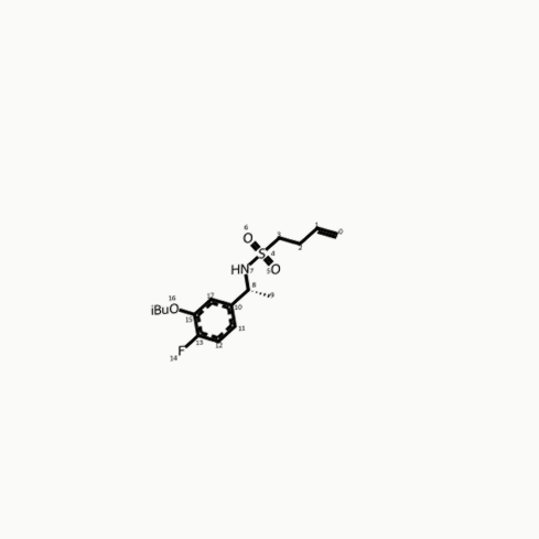 C=CCCS(=O)(=O)N[C@H](C)c1ccc(F)c(OCC(C)C)c1